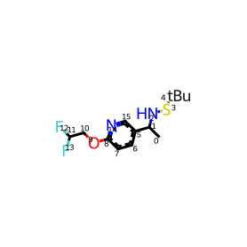 CC(NSC(C)(C)C)c1ccc(OCC(F)F)nc1